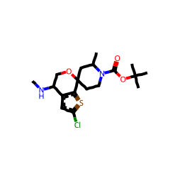 CNC1COC2(CCN(C(=O)OC(C)(C)C)C(C)C2)c2sc(Cl)cc21